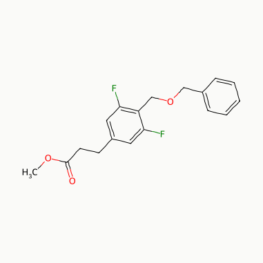 COC(=O)CCc1cc(F)c(COCc2ccccc2)c(F)c1